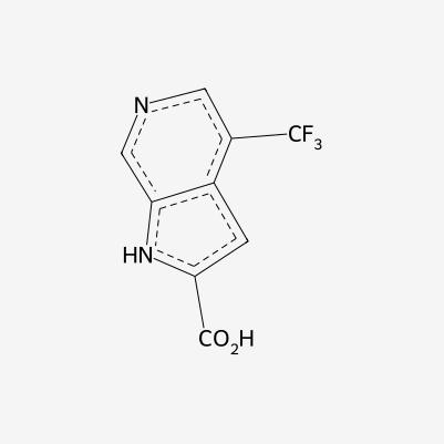 O=C(O)c1cc2c(C(F)(F)F)cncc2[nH]1